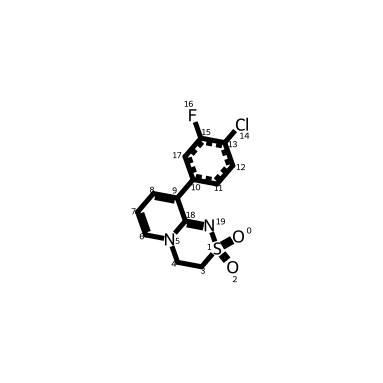 O=S1(=O)CCN2C=CC=C(c3ccc(Cl)c(F)c3)C2=N1